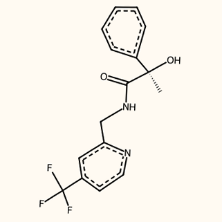 C[C@](O)(C(=O)NCc1cc(C(F)(F)F)ccn1)c1ccccc1